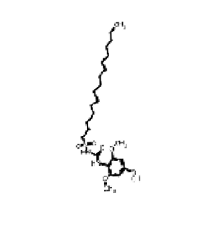 CCCCCCCCCCCCCCCCS(=O)(=O)NC(=O)Nc1c(OC)cc(OC)cc1OC